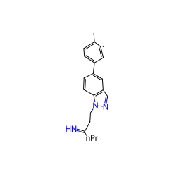 CCCC(=N)CCn1ncc2cc(-c3c[c]c(C)cc3)ccc21